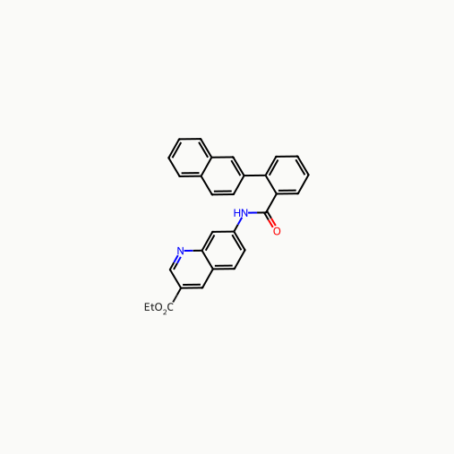 CCOC(=O)c1cnc2cc(NC(=O)c3ccccc3-c3ccc4ccccc4c3)ccc2c1